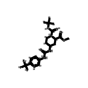 COC(=O)C1CC(NC(=O)Nc2ccc(C(F)(F)F)nc2)CCN1C(=O)OC(C)(C)C